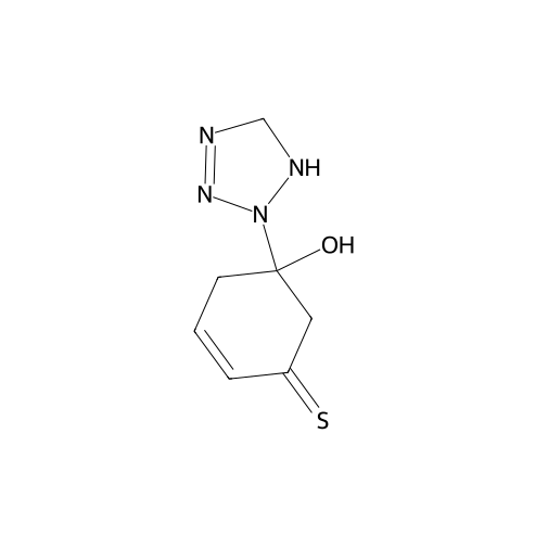 OC1(N2N=NCN2)CC=CC(=S)C1